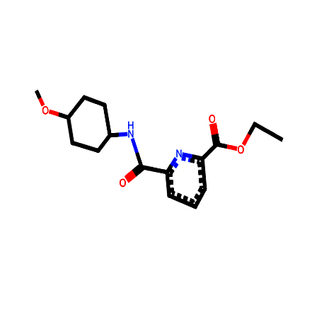 CCOC(=O)c1cccc(C(=O)NC2CCC(OC)CC2)n1